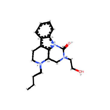 CCCCN1CCc2c3n(c4ccccc24)C(=O)N(CCO)CC31